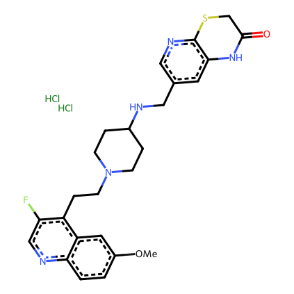 COc1ccc2ncc(F)c(CCN3CCC(NCc4cnc5c(c4)NC(=O)CS5)CC3)c2c1.Cl.Cl